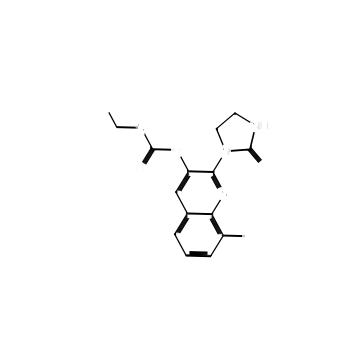 CCNC(=O)Oc1cc2cccc(Cl)c2nc1N1CCNC1=O